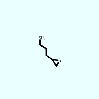 SCCCC1CS1